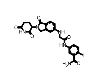 NC(=O)c1cc(NC(=O)CNc2ccc3c(c2)CN(C2CCC(=O)NC2=O)C3=O)ccc1I